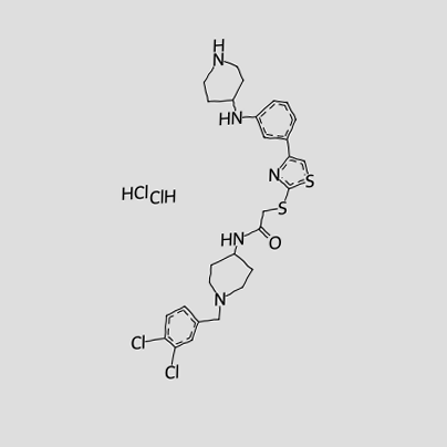 Cl.Cl.O=C(CSc1nc(-c2cccc(NC3CCNCC3)c2)cs1)NC1CCN(Cc2ccc(Cl)c(Cl)c2)CC1